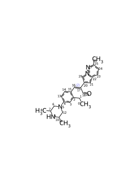 CCc1cc(N2CC(C)NC(C)C2)ccc1/C=C(\C=O)c1cc2ccc(C)nn2c1